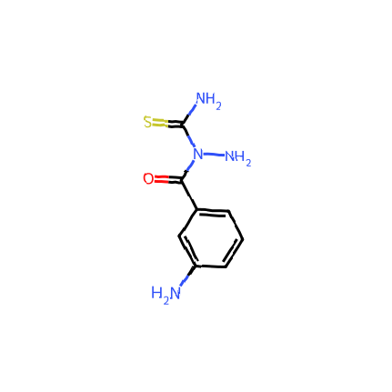 NC(=S)N(N)C(=O)c1cccc(N)c1